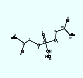 CCCCC(CC)COP(=O)(O)OCC(CC)CCCC.Cl